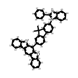 CC1(C)c2cc(-c3c4oc5ccccc5c4cc4c3oc3ccccc34)ccc2-c2ccc(-n3c(-c4ccccc4)nc4ccccc43)cc21